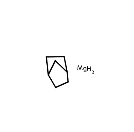 C1CC2CCC1C2.[MgH2]